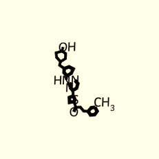 Cc1cccc(CCC(=O)c2ccc(-c3ccnc(Nc4cccc(CC5CCC(O)CC5)c4)n3)s2)c1